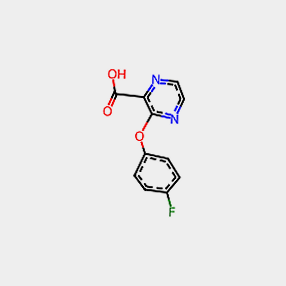 O=C(O)c1nccnc1Oc1ccc(F)cc1